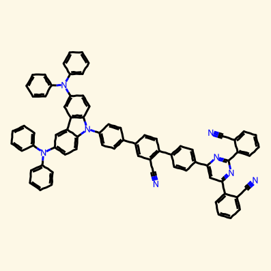 N#Cc1cc(-c2ccc(-n3c4ccc(N(c5ccccc5)c5ccccc5)cc4c4cc(N(c5ccccc5)c5ccccc5)ccc43)cc2)ccc1-c1ccc(-c2cc(-c3ccccc3C#N)nc(-c3ccccc3C#N)n2)cc1